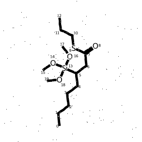 CCCCCC(CC(=O)SCCC)[Si](OC)(OC)OC